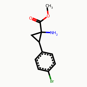 COC(=O)C1(N)CC1c1ccc(Br)cc1